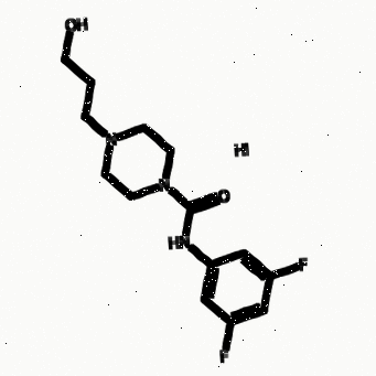 I.O=C(Nc1cc(F)cc(F)c1)N1CCN(CCCO)CC1